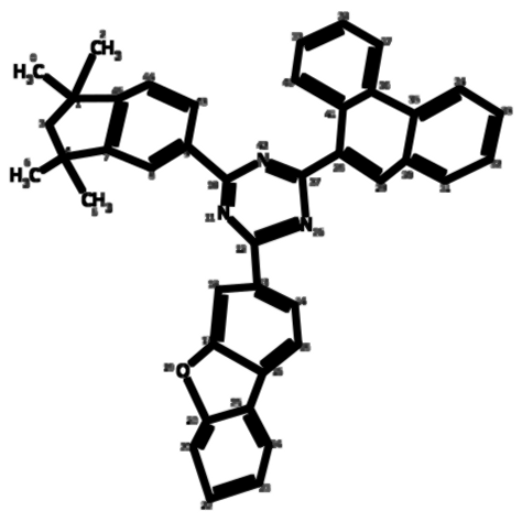 CC1(C)CC(C)(C)c2cc(-c3nc(-c4ccc5c(c4)oc4ccccc45)nc(-c4cc5ccccc5c5ccccc45)n3)ccc21